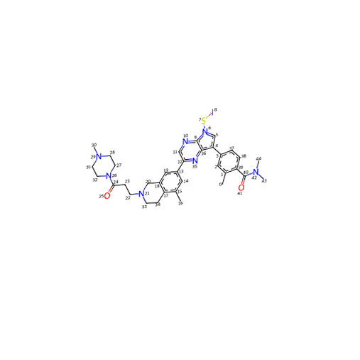 Cc1cc(-c2cn(SI)c3ncc(-c4cc(C)c5c(c4)CN(CCC(=O)N4CCN(C)CC4)CC5)nc23)ccc1C(=O)N(C)C